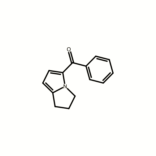 O=C(c1ccccc1)c1ccc2n1CCC2